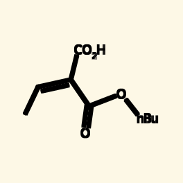 CC=C(C(=O)O)C(=O)OCCCC